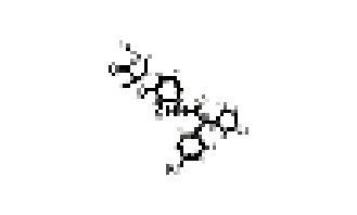 CCC(C)(Oc1cccc(NC(=O)C(c2ccc(Br)cc2)C2CCCC2)c1C)C(=O)OC